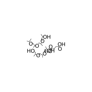 CC(O)COC(C)COC(C)CO.CC(O)COC(C)COC(C)COC(C)C.O=C(O)CCC(=O)O